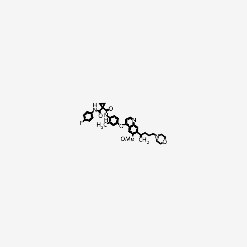 C=C(CCCN1CCOCC1)c1cc2nccc(Oc3ccc(NC(=O)C4(C(=O)Nc5ccc(F)cc5)CC4)c(C)c3)c2cc1OC